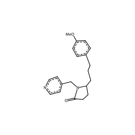 COc1ccc(CCCC2CCC(=O)N2Cc2ccncc2)cc1